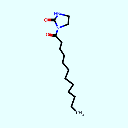 CCCCCCCCCCCC(=O)N1CCNC1=O